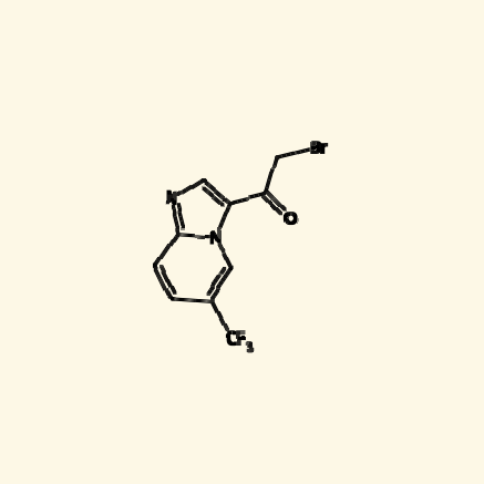 O=C(CBr)c1cnc2ccc(C(F)(F)F)cn12